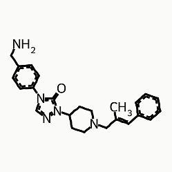 C/C(=C\c1ccccc1)CN1CCC(n2ncn(-c3ccc(CN)cc3)c2=O)CC1